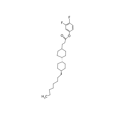 CCCCCCCC[C@H]1CC[C@H](C2CCC(CCC(=O)Oc3ccc(F)c(F)c3)CC2)CC1